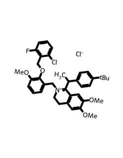 COc1cc2c(cc1OC)C(C(C)c1ccc(C(C)(C)C)cc1)=[N+](Cc1cccc(OC)c1OCc1c(F)cccc1Cl)CC2.[Cl-]